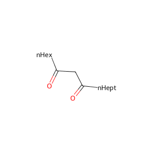 CCCCCCCC(=O)CC(=O)CCCCCC